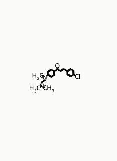 CN(C)CCN(C)c1ccc(C(=O)C=Cc2ccc(Cl)cc2)cc1